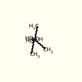 CCCCCCCCCC(O)(CO)C(O)(CCCCCCCCC)CCCCCCCCC